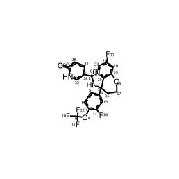 O=C(NC1(c2ccc(OC(F)(F)F)c(F)c2)CCOc2cc(F)cnc21)c1ccc(=O)[nH]c1